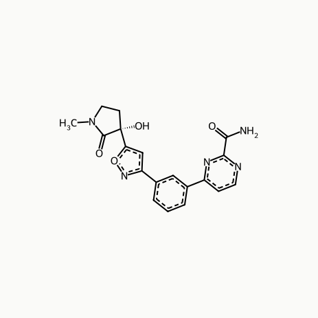 CN1CC[C@@](O)(c2cc(-c3cccc(-c4ccnc(C(N)=O)n4)c3)no2)C1=O